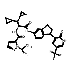 CC(C)n1nccc1C(=O)N[C@H](C(=O)Nc1ccc2c(c1)CCC2c1cc(C(F)(F)F)c[nH]c1=O)C(C1CC1)C1CC1